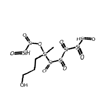 C[Si](CCCO)(O[Si](=O)[SiH]=O)[Si](=O)[Si](=O)[Si](=O)[Si](=O)[SiH]=O